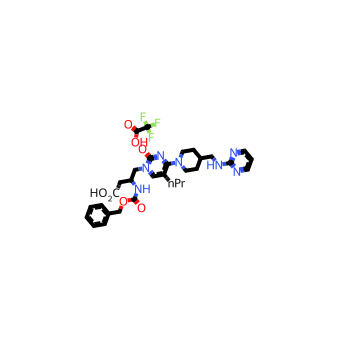 CCCc1cn(CC(CC(=O)O)NC(=O)OCc2ccccc2)c(=O)nc1N1CCC(CNc2ncccn2)CC1.O=C(O)C(F)(F)F